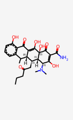 CCCC(=O)C[C@@H]1[C@H]2[C@H](N(C)C)C(O)=C(C(N)=O)C(=O)[C@@]2(O)C(O)=C2C(=O)c3c(O)cccc3C(C)[C@H]21